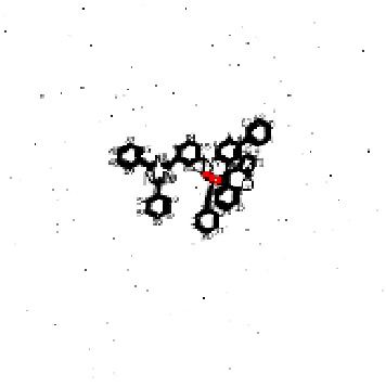 c1ccc(-c2ccc3c(c2)C2(c4ccccc4Oc4ccccc42)c2cc(-c4ccccc4)ccc2N3c2cccc(-c3nc(-c4ccccc4)nc(-c4ccccc4)n3)c2)cc1